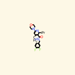 Cc1cc(N2CCOCC2)nc(C(C)C)c1C(=O)NCc1ccc(F)c(F)c1